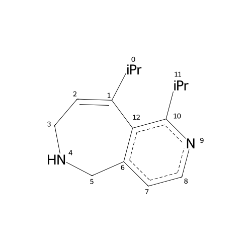 CC(C)C1=CCNCc2ccnc(C(C)C)c21